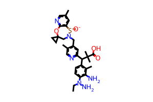 CCN(N)c1ccc(C(c2cc(CN3CC4(CC4)Oc4ncc(C)cc4[S+]3[O-])c(C)cn2)C(C)(C)C(=O)O)c(C)c1N